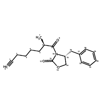 C#CCCCC[C@@H](C)C(=O)N1C(=O)OC[C@H]1Cc1ccccc1